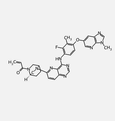 C=CC(=O)N1CC2CC[C@@H]1CN2c1ccc2ncnc(Nc3ccc(Oc4cnc5c(c4)ncn5C)c(C)c3F)c2n1